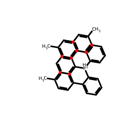 Cc1ccc(-c2ccccc2[PH2](c2ccccc2-c2ccc(C)cc2)c2ccccc2-c2ccc(C)cc2)cc1